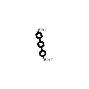 CCCCCCCCc1ccc(-c2ccc(C3=CCC(CCCCCCCC)CC3)cc2)cc1